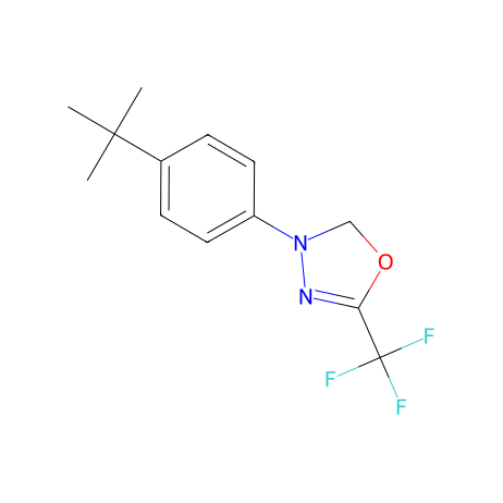 CC(C)(C)c1ccc(N2COC(C(F)(F)F)=N2)cc1